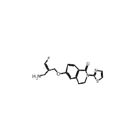 NC/C(=C/F)COc1ccc2c(c1)CCN(c1nccs1)C2=O